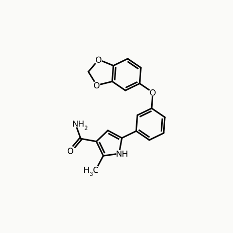 Cc1[nH]c(-c2cccc(Oc3ccc4c(c3)OCO4)c2)cc1C(N)=O